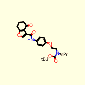 CCCN(CCOc1ccc(NC(=O)c2coc3c2C(=O)CCC3)cc1)C(=O)OC(C)(C)C